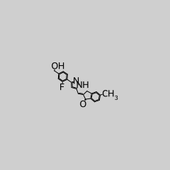 Cc1ccc2c(c1)C/C(=C\c1cc(-c3ccc(CO)cc3F)n[nH]1)C2=O